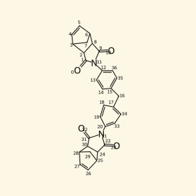 O=C1C2C3C=CC(C3)C2C(=O)N1c1ccc(Cc2ccc(N3C(=O)C4C5C=CC(C5)C4C3=O)cc2)cc1